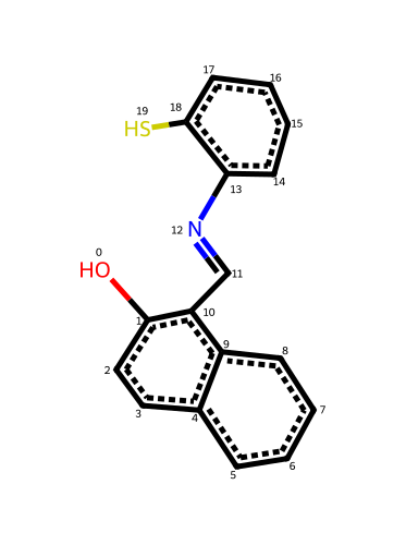 Oc1ccc2ccccc2c1C=Nc1ccccc1S